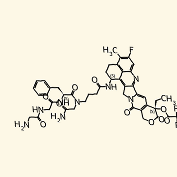 CC[C@@]1(OC(=O)C(F)(F)F)C(=O)OCc2c1cc1n(c2=O)Cc2c-1nc1cc(F)c(C)c3c1c2[C@@H](NC(=O)CCCN(CC(N)=O)C(=O)[C@H](Cc1ccccc1)NC(=O)CNC(=O)CN)CC3